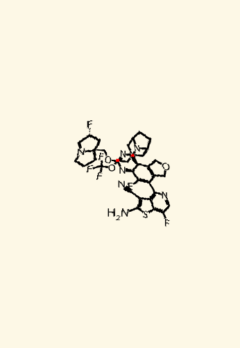 N#Cc1c(N)sc2c(F)cnc(-c3c4c(c5c(N6C7CCC6CN(CCOC(F)(F)F)C7)nc(OC[C@@]67CCCN6C[C@H](F)C7)nc5c3F)COC4)c12